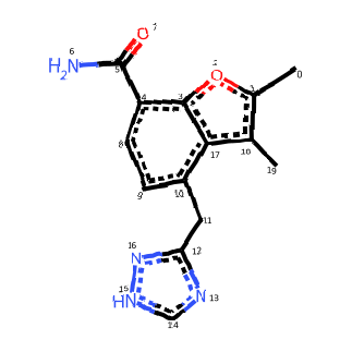 Cc1oc2c(C(N)=O)ccc(Cc3nc[nH]n3)c2c1C